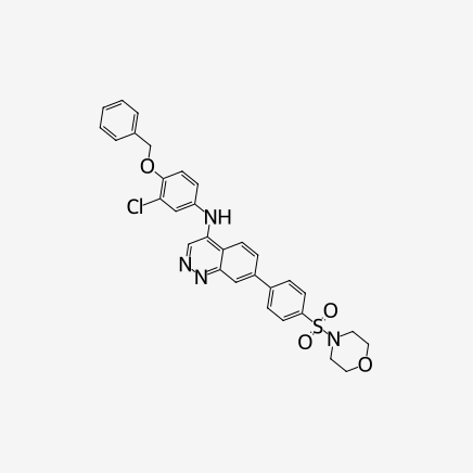 O=S(=O)(c1ccc(-c2ccc3c(Nc4ccc(OCc5ccccc5)c(Cl)c4)cnnc3c2)cc1)N1CCOCC1